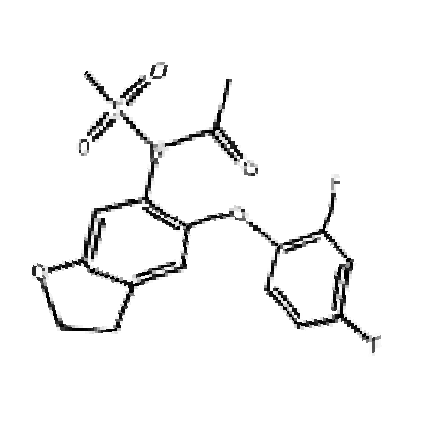 CC(=O)N(c1cc2c(cc1Oc1ccc(F)cc1F)CCO2)S(C)(=O)=O